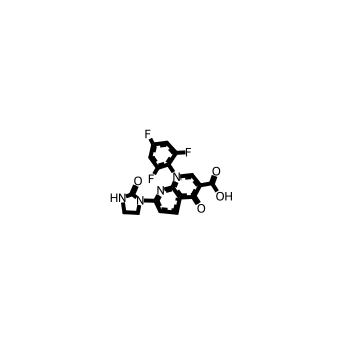 O=C(O)c1cn(-c2c(F)cc(F)cc2F)c2nc(N3CCNC3=O)ccc2c1=O